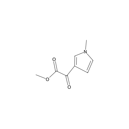 COC(=O)C(=O)c1ccn(C)c1